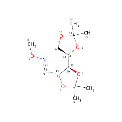 CO/N=C/[C@H]1OC(C)(C)O[C@@H]1[C@H]1COC(C)(C)O1